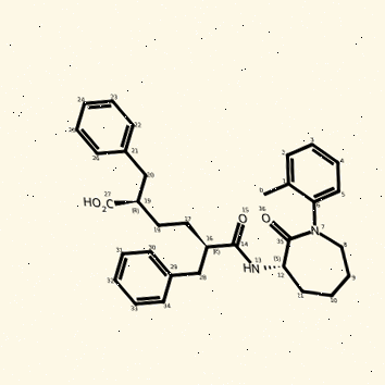 Cc1ccccc1N1CCCC[C@H](NC(=O)[C@H](CC[C@H](Cc2ccccc2)C(=O)O)Cc2ccccc2)C1=O